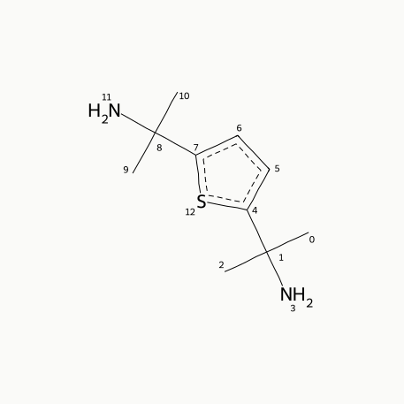 CC(C)(N)c1ccc(C(C)(C)N)s1